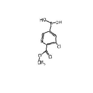 COC(=O)c1ncc(B(O)O)cc1Cl